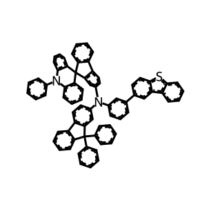 c1ccc(N2c3ccccc3C3(c4ccccc4-c4ccc(N(c5cccc(-c6ccc7sc8ccccc8c7c6)c5)c5ccc6c(c5)C(c5ccccc5)(c5ccccc5)c5ccccc5-6)cc43)c3ccccc32)cc1